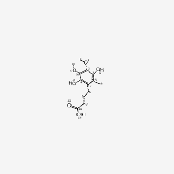 COc1c(O)c(C)c(CCCC(=O)O)c(O)c1OC